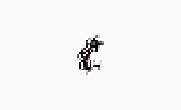 Cc1ccccc1C(=O)Nc1ccc(C(=O)N2CCCC(OCC(=O)[N+]3([O-])CCSCC3)c3ccccc32)cc1